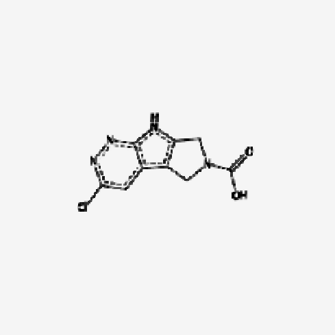 O=C(O)N1Cc2[nH]c3nnc(Cl)cc3c2C1